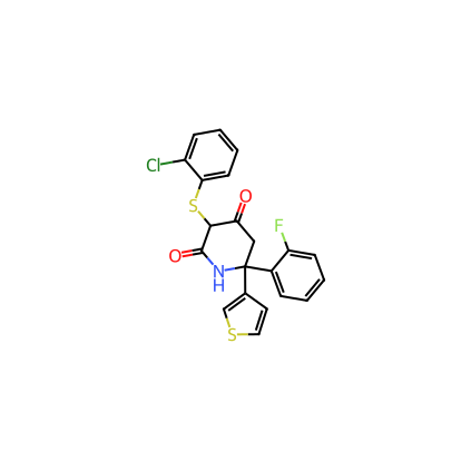 O=C1CC(c2ccsc2)(c2ccccc2F)NC(=O)C1Sc1ccccc1Cl